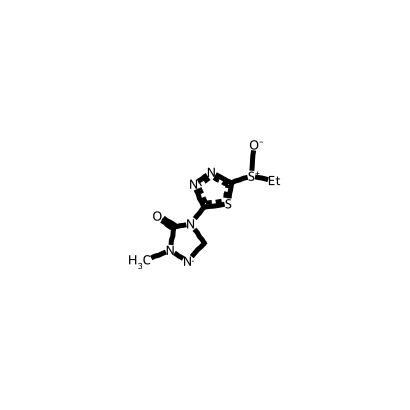 CC[S+]([O-])c1nnc(N2C[N]N(C)C2=O)s1